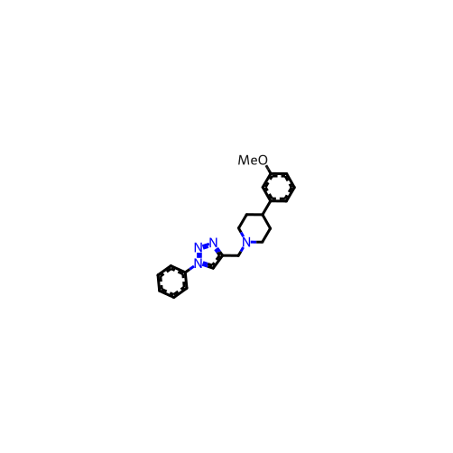 COc1cccc(C2CCN(Cc3cn(-c4ccccc4)nn3)CC2)c1